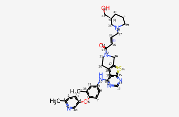 Cc1ccc(Oc2ccc(Nc3ncnc4sc5c(c34)CCN(C(=O)/C=C/CN3CCC[C@H](CO)C3)C5)cc2C)cn1